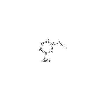 CSc1cccc(CF)c1